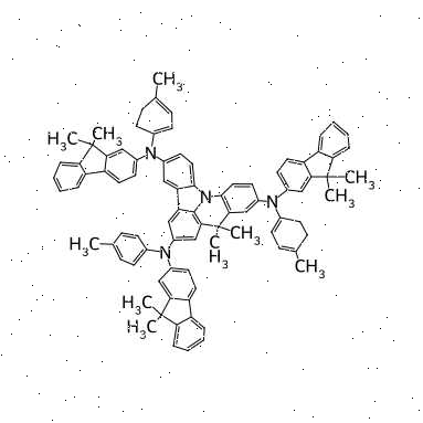 CC1=CC=C(N(c2ccc3c(c2)C(C)(C)c2ccccc2-3)c2ccc3c(c2)C(C)(C)c2cc(N(c4ccc(C)cc4)c4ccc5c(c4)C(C)(C)c4ccccc4-5)cc4c5cc(N(C6=CC=C(C)CC6)c6ccc7c(c6)C(C)(C)c6ccccc6-7)ccc5n-3c24)CC1